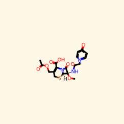 CO[C@]1(NC(=O)Cn2ccc(=O)cc2)C(=O)N2C(C(=O)O)=C(COC(C)=O)CS[C@@H]21